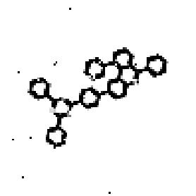 c1ccc(-c2nc(-c3ccccc3)nc(-c3ccc(-c4ccc5nc(-c6ccccc6)c6cccc(-c7cccnc7)c6c5c4)cc3)n2)cc1